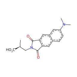 C[C@@H](CN1C(=O)c2cc3ccc(N(C)C)cc3cc2C1=O)C(=O)O